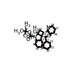 CC(C)(C)OC(=O)N1c2ccccc2[C@]2(C(=O)c3ccccc3)[C@@H](c3ccccn3)C[C@]12C